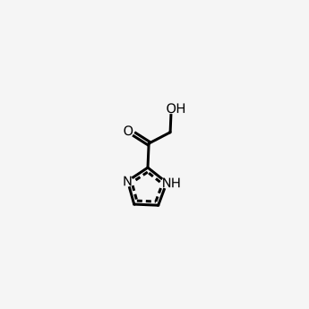 O=C(CO)c1ncc[nH]1